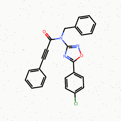 O=C(C#Cc1ccccc1)N(Cc1ccccc1)c1noc(-c2ccc(Cl)cc2)n1